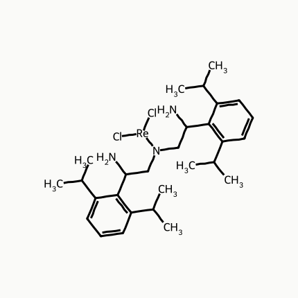 CC(C)c1cccc(C(C)C)c1C(N)C[N](CC(N)c1c(C(C)C)cccc1C(C)C)[Re]([Cl])[Cl]